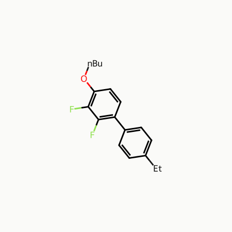 CCCCOc1ccc(-c2ccc(CC)cc2)c(F)c1F